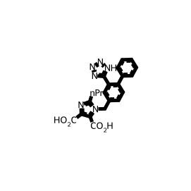 CCCc1nc(C(=O)O)c(C(=O)O)n1Cc1ccc(-c2ccccc2)c(-c2nnn[nH]2)c1